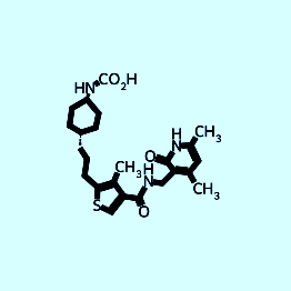 Cc1cc(C)c(CNC(=O)c2csc(CCC[C@H]3CC[C@H](NC(=O)O)CC3)c2C)c(=O)[nH]1